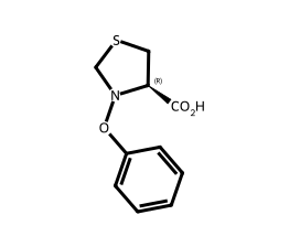 O=C(O)[C@@H]1CSCN1Oc1ccccc1